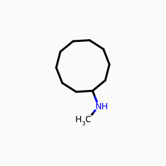 CNC1CCCCCCCCC1